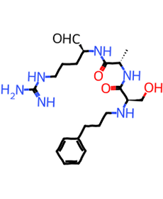 C[C@H](NC(=O)[C@@H](CO)NCCCc1ccccc1)C(=O)N[C@H](C=O)CCCNC(=N)N